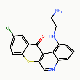 NCCNc1cccc2ncc3sc4ccc(Cl)cc4c(=O)c3c12